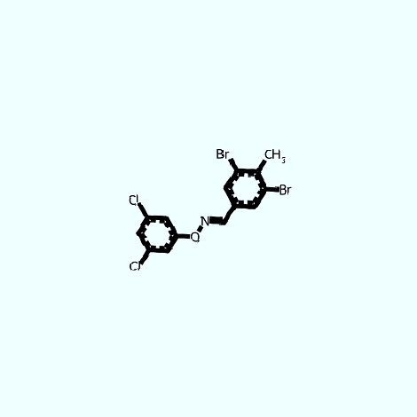 Cc1c(Br)cc(/C=N/Oc2cc(Cl)cc(Cl)c2)cc1Br